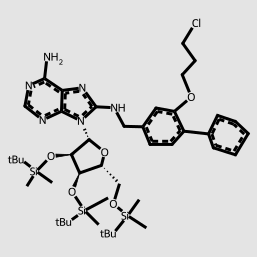 CC(C)(C)[Si](C)(C)OC[C@H]1O[C@@H](n2c(NCc3ccc(-c4ccccc4)c(OCCCCl)c3)nc3c(N)ncnc32)[C@H](O[Si](C)(C)C(C)(C)C)[C@@H]1O[Si](C)(C)C(C)(C)C